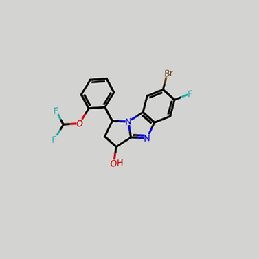 OC1CC(c2ccccc2OC(F)F)n2c1nc1cc(F)c(Br)cc12